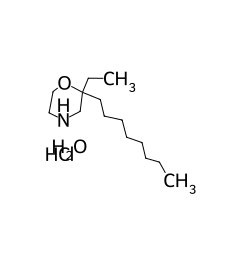 CCCCCCCCC1(CC)CNCCO1.Cl.O